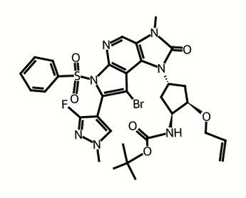 C=CCO[C@@H]1C[C@@H](n2c(=O)n(C)c3cnc4c(c(Br)c(-c5cn(C)nc5F)n4S(=O)(=O)c4ccccc4)c32)C[C@@H]1NC(=O)OC(C)(C)C